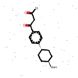 CCCCC[C@H]1CC[C@H](c2ccc(C(=O)CC(=O)CC)cc2)CC1